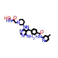 Cc1ccnc(NC(=O)c2ccc(-c3nn(C4CCCN(CC(=O)NO)C4)c4ncnc(N)c34)cc2)c1